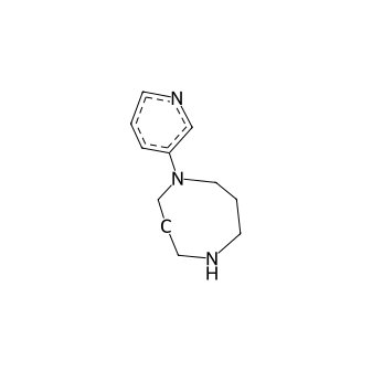 c1cncc(N2CCCNCCC2)c1